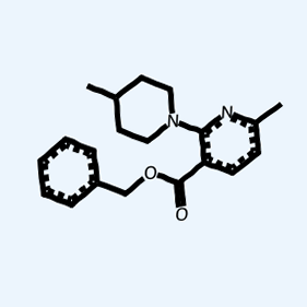 Cc1ccc(C(=O)OCc2ccccc2)c(N2CCC(C)CC2)n1